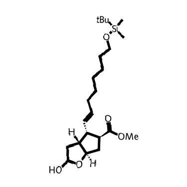 COC(=O)[C@H]1C[C@H]2OC(O)C[C@@H]2[C@@H]1C=CCCCCCCO[Si](C)(C)C(C)(C)C